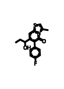 CCC(O)c1cc2scc(C)n2c(=O)c1-c1ccc(F)cc1